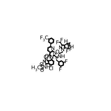 Cn1nc(NS(C)(=O)=O)c2c(Cl)ccc(-n3c([C@H](Cc4cc(F)cc(F)c4)NC(=O)Cn4nc(C(F)F)c5c4C(F)(F)[C@@H]4C[C@H]54)nc4nc(-c5cccc(C(F)(F)F)c5)ccc4c3=O)c21